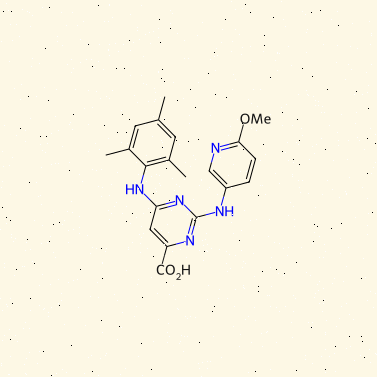 COc1ccc(Nc2nc(Nc3c(C)cc(C)cc3C)cc(C(=O)O)n2)cn1